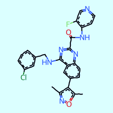 Cc1noc(C)c1-c1ccc2nc(C(=O)Nc3ccncc3F)nc(NCc3cccc(Cl)c3)c2c1